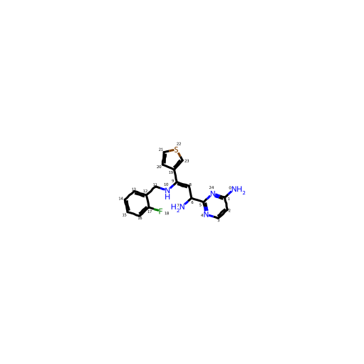 Nc1ccnc(C(N)/C=C(\NCc2ccccc2F)c2ccsc2)n1